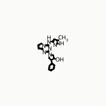 Cc1cc(Nc2nc(N3CC(O)C(c4ccccc4)C3)nc3cccn23)n[nH]1